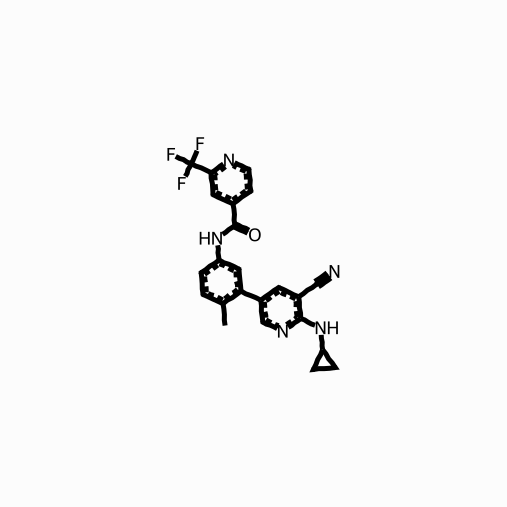 Cc1ccc(NC(=O)c2ccnc(C(F)(F)F)c2)cc1-c1cnc(NC2CC2)c(C#N)c1